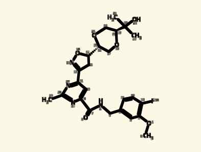 COc1cc(CNC(=O)c2cc(C3=NOC([C@H]4CO[C@H](C(C)(C)O)CO4)C3)nc(C)n2)ccc1F